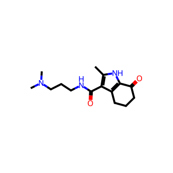 Cc1[nH]c2c(c1C(=O)NCCCN(C)C)CCCC2=O